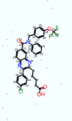 O=C(O)CCCCc1nc2cc(C(=O)N(Cc3ccc(OC(F)(F)F)cc3)c3ccccc3)ccc2nc1-c1ccc(Cl)cc1